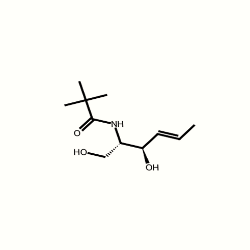 C/C=C/[C@@H](O)[C@H](CO)NC(=O)C(C)(C)C